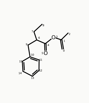 C=C(C)OC(=O)C(CC)Cc1ccccc1